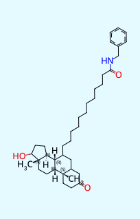 C[C@]12CCC(=O)CC1CC(CCCCCCCCCCCC(=O)NCc1ccccc1)[C@@H]1[C@H]2CC[C@]2(C)C(O)CC[C@@H]12